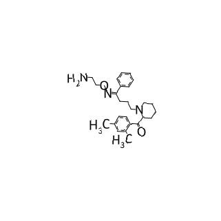 Cc1ccc(C(=O)C2CCCCN2CCC/C(=N/OCCN)c2ccccc2)c(C)c1